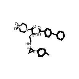 Cc1ccc([C@H]2C[C@@H]2NCC[C@H](NC(=O)c2ccc(-c3ccccc3)cc2)C(=O)N2CCS(=O)(=O)CC2)cc1